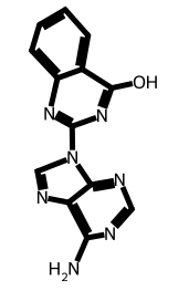 Nc1ncnc2c1ncn2-c1nc(O)c2ccccc2n1